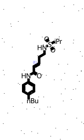 CCCCc1ccc(NC(=O)/C=C/CCNS(=O)(=O)C(C)C)cc1